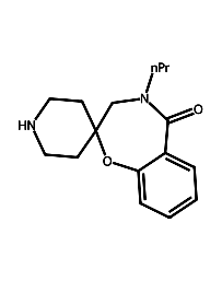 CCCN1CC2(CCNCC2)Oc2ccccc2C1=O